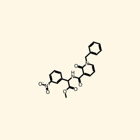 COC(=O)C(NC(=O)c1cccn(Cc2ccccc2)c1=O)c1cccc([N+](=O)[O-])c1